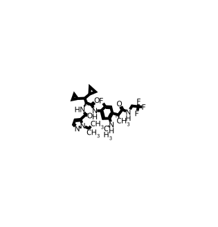 CNc1cc(NC(=O)[C@@H](NC(=O)c2ccnn2C(C)C)C(C2CC2)C2CC2)c(F)cc1[C@@H](C)C(=O)NCC(F)(F)F